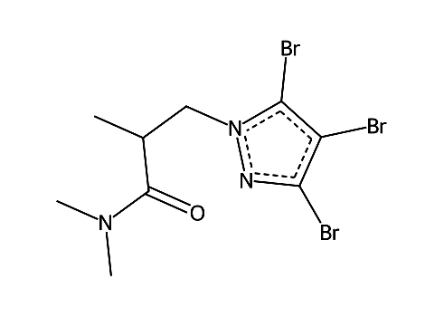 CC(Cn1nc(Br)c(Br)c1Br)C(=O)N(C)C